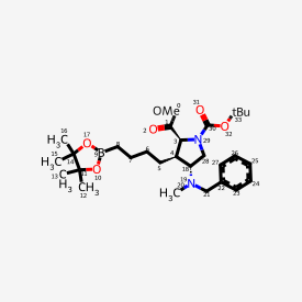 COC(=O)[C@@H]1[C@H](CCCCB2OC(C)(C)C(C)(C)O2)[C@@H](N(C)Cc2ccccc2)CN1C(=O)OC(C)(C)C